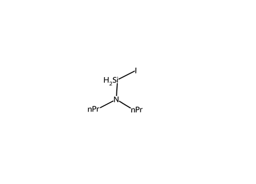 CCCN(CCC)[SiH2]I